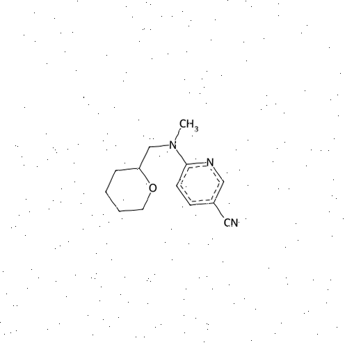 CN(CC1CCCCO1)c1ccc(C#N)cn1